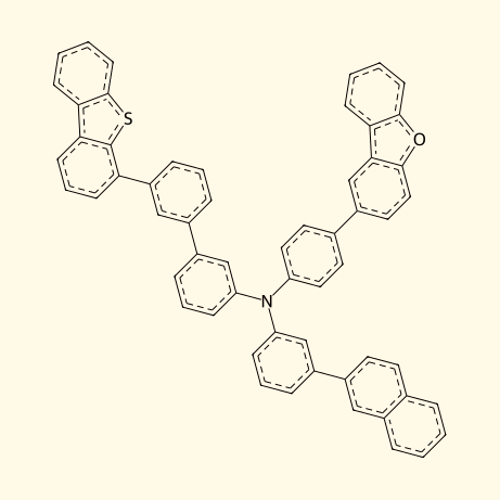 c1cc(-c2cccc(N(c3ccc(-c4ccc5oc6ccccc6c5c4)cc3)c3cccc(-c4ccc5ccccc5c4)c3)c2)cc(-c2cccc3c2sc2ccccc23)c1